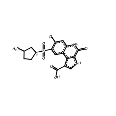 NC1CC[C@H](S(=O)(=O)c2cc3c(cc2Cl)[nH]c(=O)c2[nH]cc(C(=O)O)c23)C1